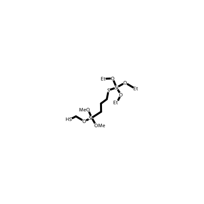 CCO[Si](OCC)(OCC)SCCC[Si](OC)(OC)OCS